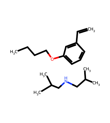 C=Cc1cccc(OCCCC)c1.CC(C)CNCC(C)C